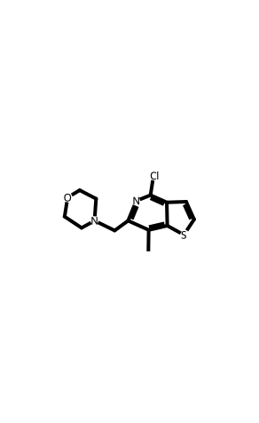 Cc1c(CN2CCOCC2)nc(Cl)c2ccsc12